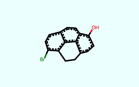 Oc1ccc2c3c1ccc1ccc(Br)c(c13)CC2